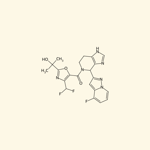 CC(C)(O)c1nc(C(F)F)c(C(=O)N2CCc3[nH]cnc3C2c2cc3c(F)cccn3n2)o1